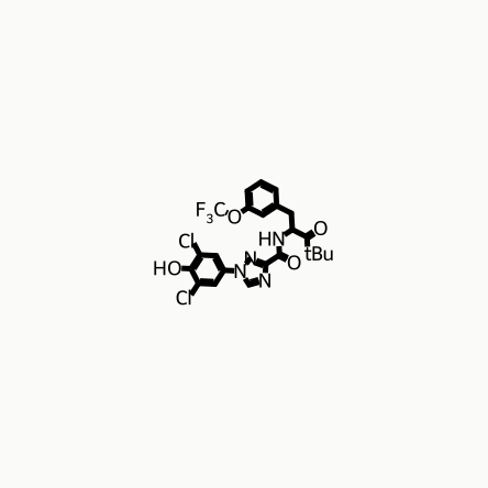 CC(C)(C)C(=O)C(Cc1cccc(OC(F)(F)F)c1)NC(=O)c1ncn(-c2cc(Cl)c(O)c(Cl)c2)n1